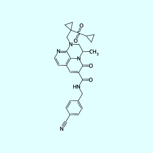 CC1CN(CC2(S(=O)(=O)C3CC3)CC2)c2nccc3cc(C(=O)NCc4ccc(C#N)cc4)c(=O)n1c23